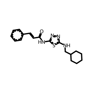 O=C(/C=C/c1ccccc1)Nc1nnc(NCC2CCCCC2)s1